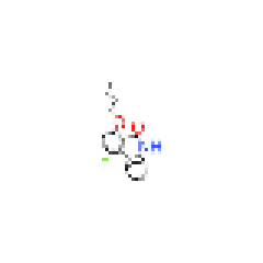 CCCCOc1ccc(F)c2c1C(=O)NC1C3C=CC(C3)C21